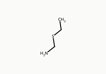 CCS[CH]N